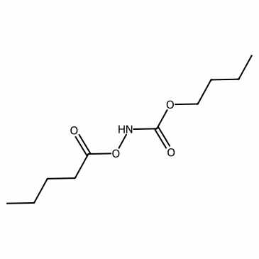 CCCCOC(=O)NOC(=O)CCCC